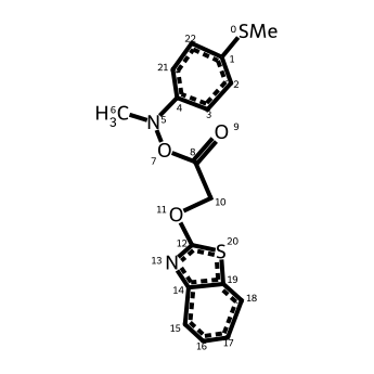 CSc1ccc(N(C)OC(=O)COc2nc3ccccc3s2)cc1